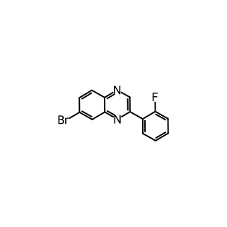 Fc1ccccc1-c1cnc2ccc(Br)cc2n1